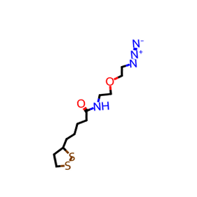 [N-]=[N+]=NCCOCCNC(=O)CCCCC1CCSS1